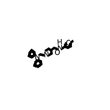 Cc1ccc(CNC(=O)CC2CCN(CCN(c3ccccc3)c3ccccc3)CC2)cc1